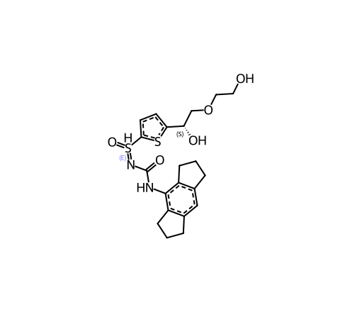 O=C(/N=[SH](=O)\c1ccc([C@@H](O)COCCO)s1)Nc1c2c(cc3c1CCC3)CCC2